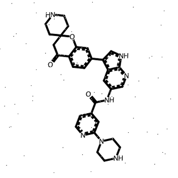 O=C(Nc1cnc2[nH]cc(-c3ccc4c(c3)OC3(CCNCC3)CC4=O)c2c1)c1ccnc(N2CCNCC2)c1